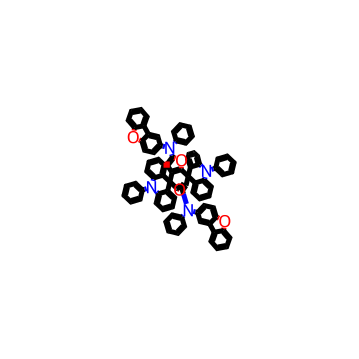 c1ccc(N(c2ccc3oc4ccccc4c3c2)c2cc3c(o2)C2(c4ccccc4N(c4ccccc4)c4ccccc42)c2cc(N(c4ccccc4)c4ccc5oc6ccccc6c5c4)oc2C32c3ccccc3N(c3ccccc3)c3ccccc32)cc1